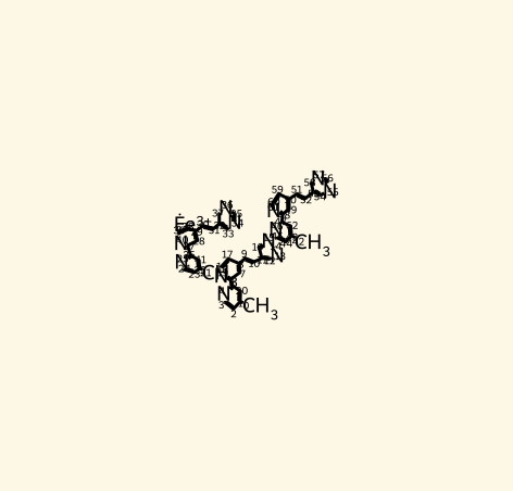 Cc1ccnc(-c2cc(C=Cc3cncnc3)ccn2)c1.Cc1ccnc(-c2cc(C=Cc3cncnc3)ccn2)c1.Cc1ccnc(-c2cc(C=Cc3cncnc3)ccn2)c1.[Fe+3]